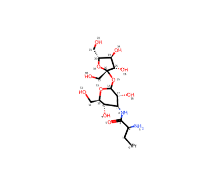 CC(C)C[C@H](N)C(=O)N[C@@H]1[C@H](O)[C@@H](CO)OC(O[C@]2(CO)O[C@H](CO)[C@@H](O)[C@@H]2O)[C@@H]1O